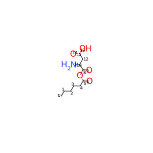 CCCCCC(=O)OC(=O)[C@@H](N)CC(=O)O